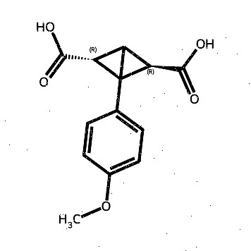 COc1ccc(C23C([C@H]2C(=O)O)[C@H]3C(=O)O)cc1